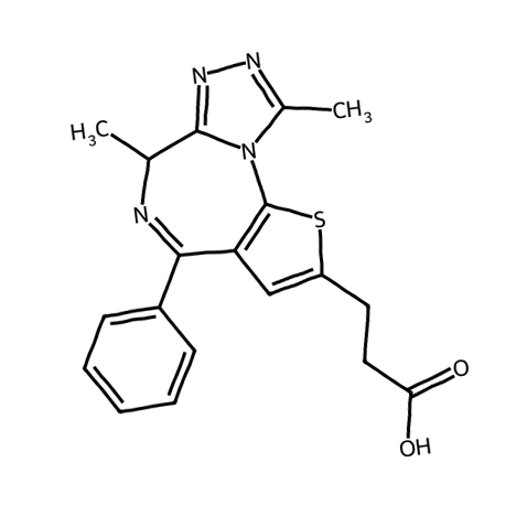 Cc1nnc2n1-c1sc(CCC(=O)O)cc1C(c1ccccc1)=NC2C